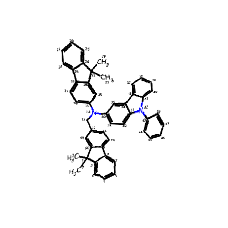 CC1(C)c2ccccc2-c2ccc(CN(c3ccc4c(c3)C(C)(C)c3ccccc3-4)c3ccc4c(c3)c3ccccc3n4-c3ccccc3)cc21